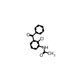 CC(=O)Nc1cccc(C(=O)c2ccccc2)c1Cl